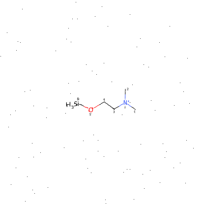 C[N+](C)CCO[SiH3]